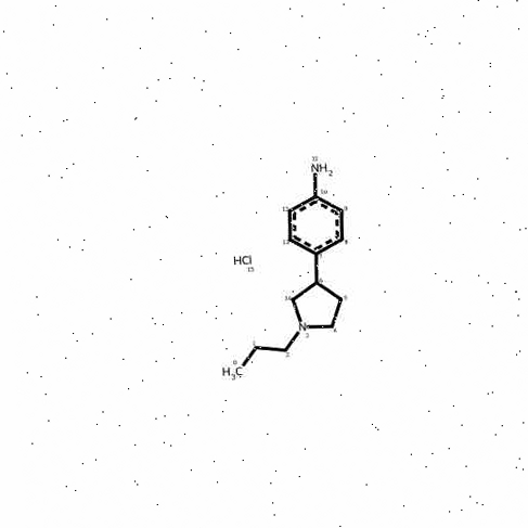 CCCN1CCC(c2ccc(N)cc2)C1.Cl